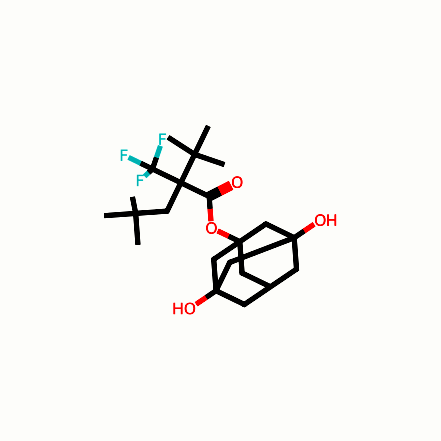 CC(C)(C)CC(C(=O)OC12CC3CC(O)(CC(O)(C3)C1)C2)(C(C)(C)C)C(F)(F)F